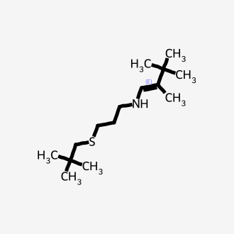 C/C(=C\NCCCSCC(C)(C)C)C(C)(C)C